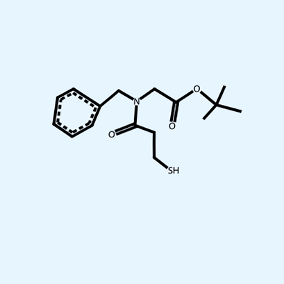 CC(C)(C)OC(=O)CN(Cc1ccccc1)C(=O)CCS